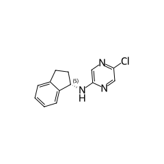 Clc1cnc(N[C@H]2CCc3ccccc32)cn1